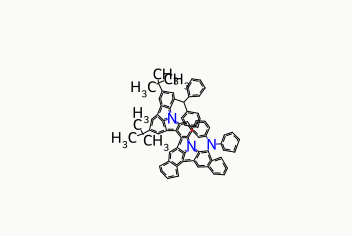 CC(C)(C)c1cc(C(c2ccccc2)c2ccccc2)c2c(c1)c1cc(C(C)(C)C)cc3c4c5c6cc7ccccc7c7c8cc9ccccc9c(N(c9ccccc9)c9ccccc9)c8n(c5ccc4n2c13)c67